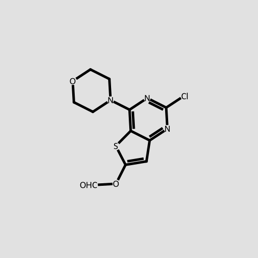 O=COc1cc2nc(Cl)nc(N3CCOCC3)c2s1